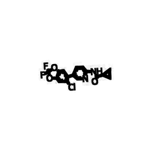 O=C(Nc1ccc(-c2cc3c(cc2Cl)OC(F)(F)O3)cn1)C1CC1